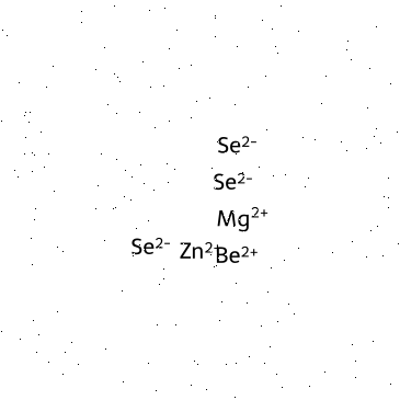 [Be+2].[Mg+2].[Se-2].[Se-2].[Se-2].[Zn+2]